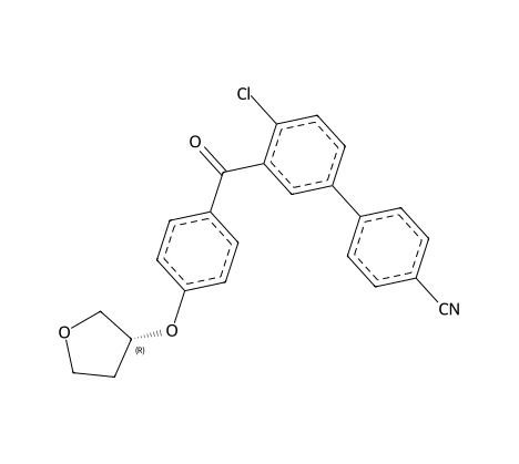 N#Cc1ccc(-c2ccc(Cl)c(C(=O)c3ccc(O[C@@H]4CCOC4)cc3)c2)cc1